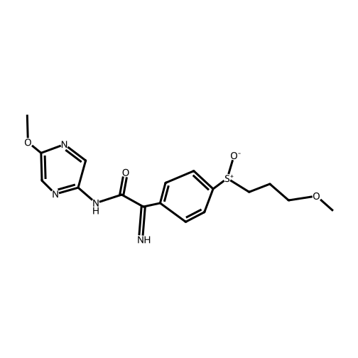 COCCC[S+]([O-])c1ccc(C(=N)C(=O)Nc2cnc(OC)cn2)cc1